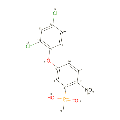 CP(=O)(O)c1cc(Oc2ccc(Cl)cc2Cl)ccc1[N+](=O)[O-]